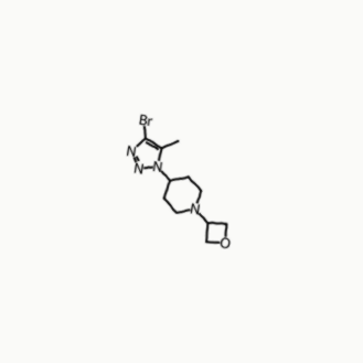 Cc1c(Br)nnn1C1CCN(C2COC2)CC1